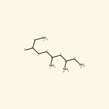 CC(CN)CCC(N)CC(N)CN